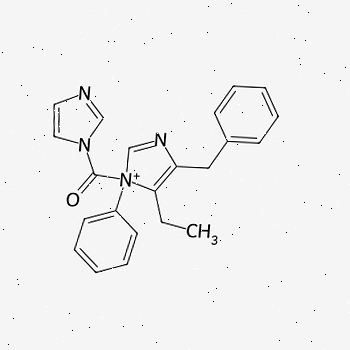 CCC1=C(Cc2ccccc2)N=C[N+]1(C(=O)n1ccnc1)c1ccccc1